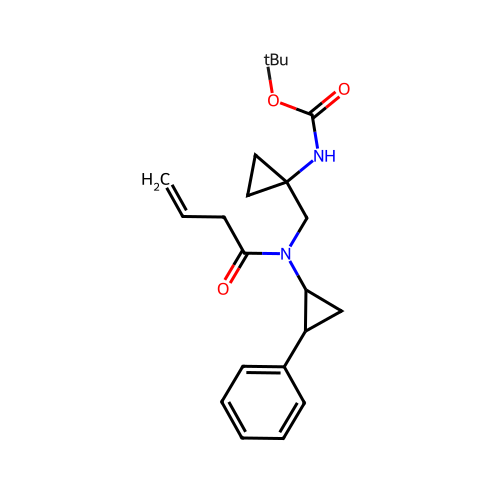 C=CCC(=O)N(CC1(NC(=O)OC(C)(C)C)CC1)C1CC1c1ccccc1